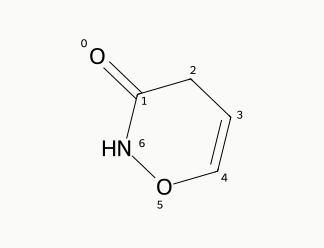 O=C1CC=CON1